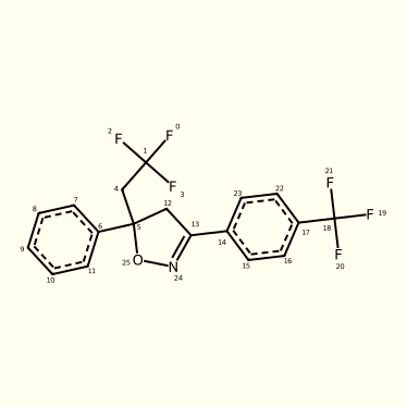 FC(F)(F)CC1(c2ccccc2)CC(c2ccc(C(F)(F)F)cc2)=NO1